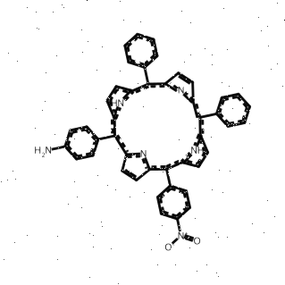 Nc1ccc(-c2c3nc(c(-c4ccc([N+](=O)[O-])cc4)c4ccc([nH]4)c(-c4ccccc4)c4nc(c(-c5ccccc5)c5ccc2[nH]5)C=C4)C=C3)cc1